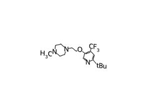 CN1CCN(CCOc2cnc(C(C)(C)C)cc2C(F)(F)F)CC1